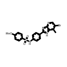 COc1ccc(S(=O)(=O)Nc2ccc(-c3nc4ncc(Br)c(C)c4[nH]3)cc2)cc1